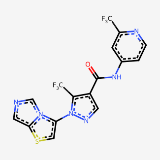 O=C(Nc1ccnc(C(F)(F)F)c1)c1cnn(-c2csc3cncn23)c1C(F)(F)F